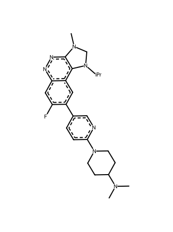 CC(C)N1CN(C)c2nnc3cc(F)c(-c4ccc(N5CCC(N(C)C)CC5)nc4)cc3c21